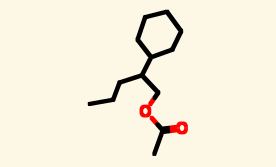 CCCC(COC(C)=O)C1CCCCC1